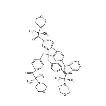 CC(C)(C(=O)c1ccc(CC2(Cc3ccc(C(=O)C(C)(C)N4CCOCC4)cc3)c3cc(C(=O)c4ccccc4)ccc3-c3ccc(C(=O)C(C)(C)N4CCOCC4)cc32)cc1)N1CCOCC1